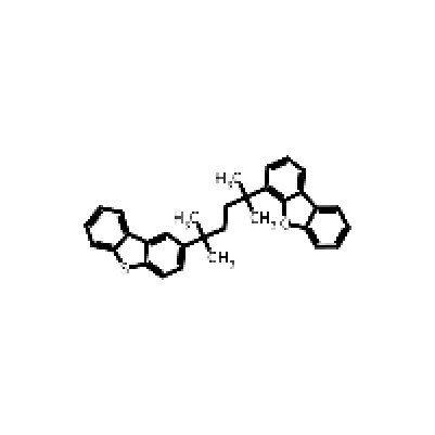 CC(C)(CCC(C)(C)c1cccc2c1oc1ccccc12)c1ccc2sc3ccccc3c2c1